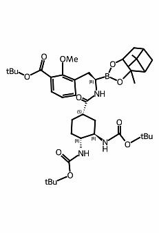 COc1c(C[C@H](NC(=O)[C@H]2CC[C@@H](NC(=O)OC(C)(C)C)[C@H](NC(=O)OC(C)(C)C)C2)B2OC3CC4CC(C4(C)C)C3(C)O2)cccc1C(=O)OC(C)(C)C